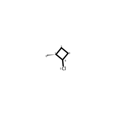 C[C@@H]1CCC1Cl